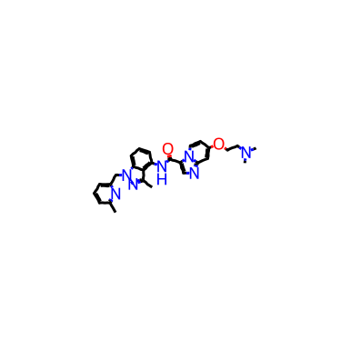 Cc1cccc(Cn2nc(C)c3c(NC(=O)c4cnc5cc(OCCN(C)C)ccn45)cccc32)n1